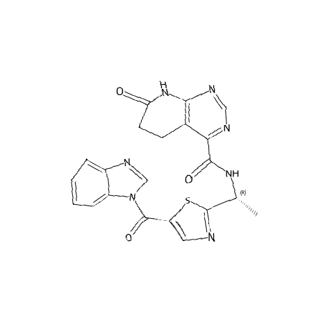 C[C@@H](NC(=O)c1ncnc2c1CCC(=O)N2)c1ncc(C(=O)n2cnc3ccccc32)s1